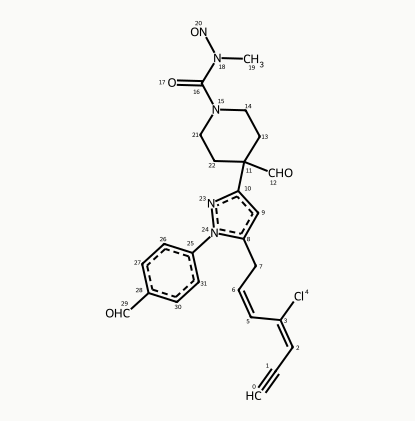 C#C/C=C(Cl)\C=C/Cc1cc(C2(C=O)CCN(C(=O)N(C)N=O)CC2)nn1-c1ccc(C=O)cc1